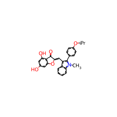 CC(C)Oc1ccc(-c2c(/C=C3\Oc4cc(O)cc(O)c4C3=O)c3ccccc3n2C)cc1